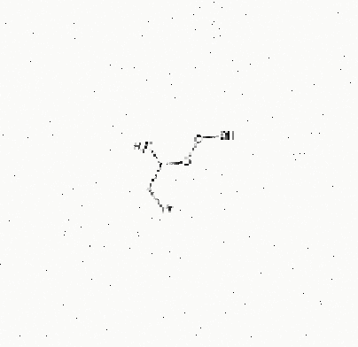 CC(C)CC(C)OOO